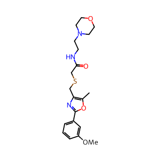 COc1cccc(-c2nc(CSCC(=O)NCCN3CCOCC3)c(C)o2)c1